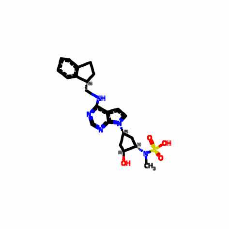 CN([C@H]1C[C@@H](n2ccc3c(NC[C@H]4CCc5ccccc54)ncnc32)C[C@@H]1O)S(=O)(=O)O